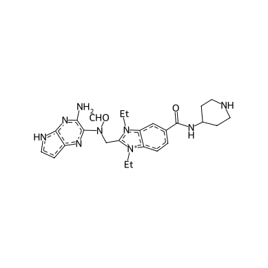 CCn1c(CN(C=O)c2nc3cc[nH]c3nc2N)[n+](CC)c2ccc(C(=O)NC3CCNCC3)cc21